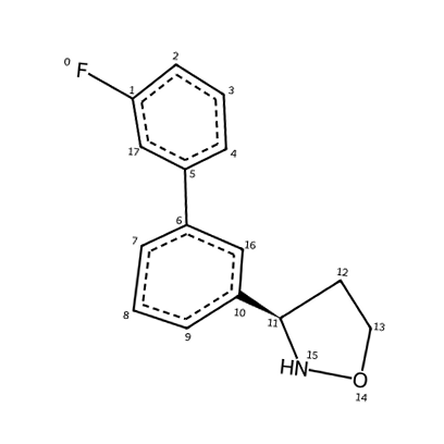 Fc1cccc(-c2cccc([C@H]3CCON3)c2)c1